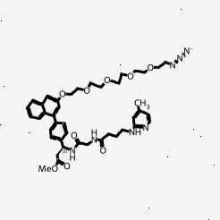 COC(=O)C[C@H](NC(=O)CNC(=O)CCCNc1cc(C)ccn1)c1ccc(-c2cc(OCCOCCOCCOCCOCCN=[N+]=[N-])cc3ccccc23)cc1